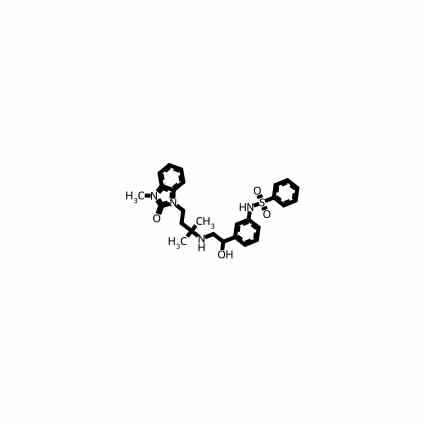 Cn1c(=O)n(CCC(C)(C)NCC(O)c2cccc(NS(=O)(=O)c3ccccc3)c2)c2ccccc21